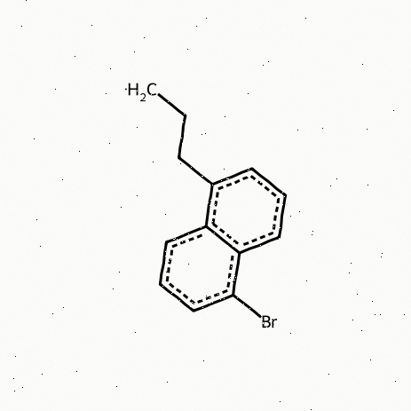 [CH2]CCc1cccc2c(Br)cccc12